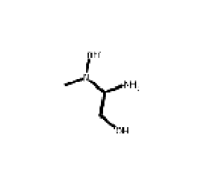 CCCN(C)C(N)CO